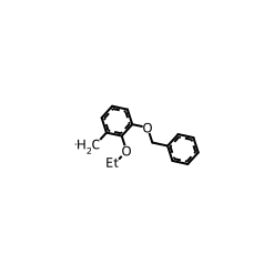 [CH2]c1cccc(OCc2ccccc2)c1OCC